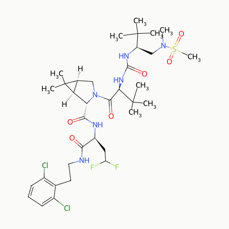 CN(C[C@@H](NC(=O)N[C@H](C(=O)N1C[C@H]2[C@@H]([C@H]1C(=O)N[C@@H](CC(F)F)C(=O)NCCc1c(Cl)cccc1Cl)C2(C)C)C(C)(C)C)C(C)(C)C)S(C)(=O)=O